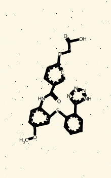 COc1ccc(NC(=O)c2ccc(OCC(=O)O)cc2)c(Sc2ccccc2-c2nnn[nH]2)c1